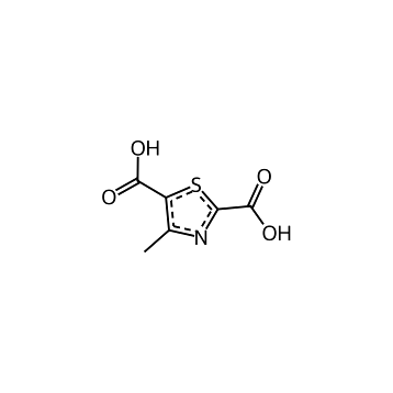 Cc1nc(C(=O)O)sc1C(=O)O